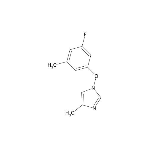 Cc1cc(F)cc(On2cnc(C)c2)c1